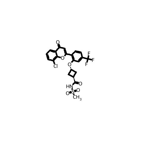 CS(=O)(=O)NC(=O)[C@H]1C[C@H](Oc2cc(C(F)(F)F)ccc2-c2cc(=O)c3cccc(Cl)c3o2)C1